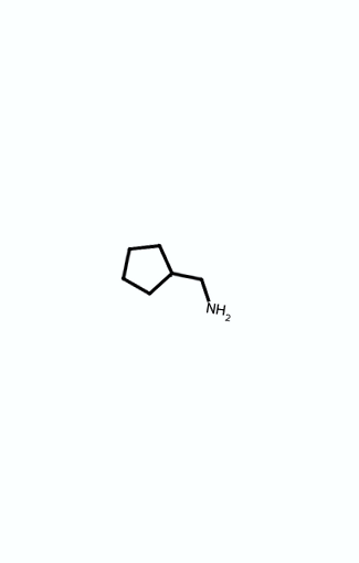 NC[C]1CCCC1